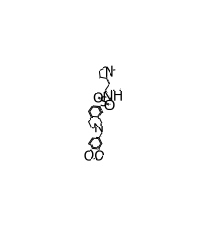 CN1CCCC1CCNS(=O)(=O)c1ccc2c(c1)CN(Cc1ccc3c(c1)OCO3)CC2